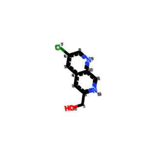 OCc1cc2cc(Cl)cnc2cn1